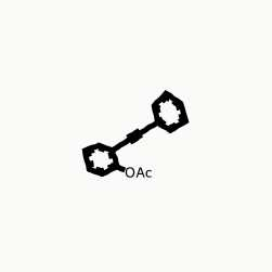 CC(=O)Oc1ccccc1C#Cc1ccccc1